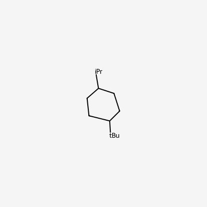 CC(C)C1CCC(C(C)(C)C)CC1